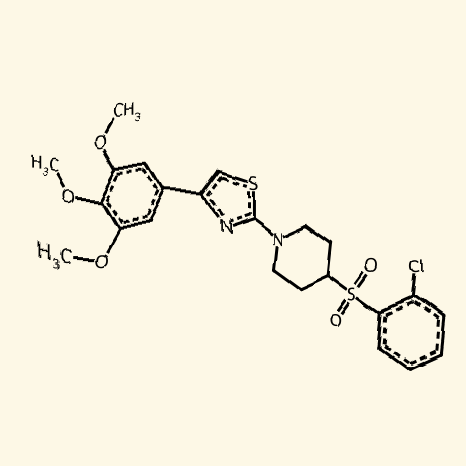 COc1cc(-c2csc(N3CCC(S(=O)(=O)c4ccccc4Cl)CC3)n2)cc(OC)c1OC